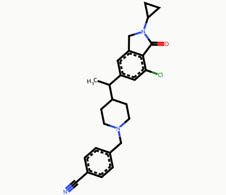 CC(c1cc(Cl)c2c(c1)CN(C1CC1)C2=O)C1CCN(Cc2ccc(C#N)cc2)CC1